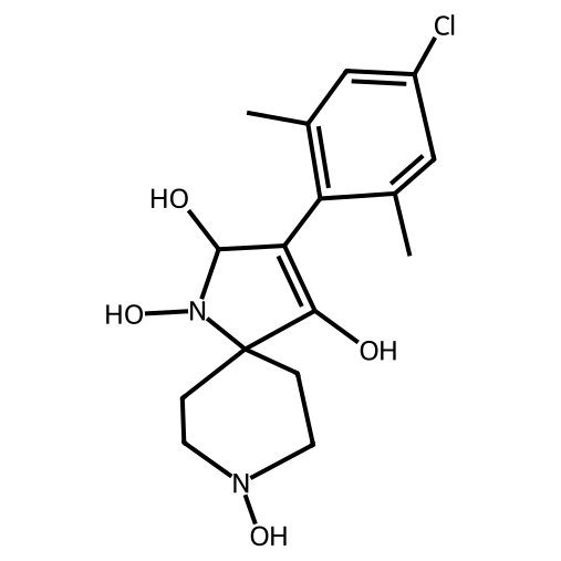 Cc1cc(Cl)cc(C)c1C1=C(O)C2(CCN(O)CC2)N(O)C1O